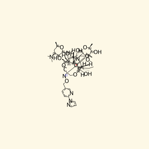 CCCN1C[C@H](C)[C@H]2OC/C(=N\OCc3ccc(-n4cccn4)nc3)CO[C@](C)(C[C@H]1C)[C@H](O[C@@H]1O[C@H](C)C[C@H](N(C)C)[C@H]1O)[C@@H](C)[C@H](O[C@H]1C[C@@](C)(OC)[C@@H](O)[C@H](C)O1)[C@@H](C)C(=O)O[C@H](CC)[C@@]2(C)O